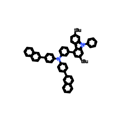 CC(C)(C)c1ccc2c3c(-c4cccc(N(c5ccc(-c6ccc7ccccc7c6)cc5)c5ccc(-c6ccc7ccccc7c6)cc5)c4)cc(C(C)(C)C)cc3n(-c3ccccc3)c2c1